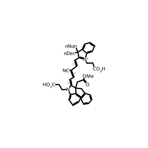 CCCCCCCCCCC1(CCCCCCCCC)C(/C=C/C(C#N)=C/C=C2/N(CCC(=O)O)c3ccccc3C2(CC(=O)OC)Cc2ccccc2)=[N+](CCC(=O)O)c2ccccc21